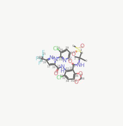 CC(C)(CS(C)(=O)=O)NC(=O)c1c(NC(=O)c2cc(C(F)(F)F)nn2-c2ncccc2Cl)c(Cl)cc2c1OCO2